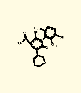 Cc1ccc(O)c(C)c1-n1c(N)c(C(N)=O)cc(C2=CCCOC2)c1=O